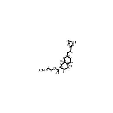 CC(=O)NCCOC(=O)[C@@H]1C[C@H]2C[C@@H](CCc3nn[nH]n3)CC[C@H]2CN1